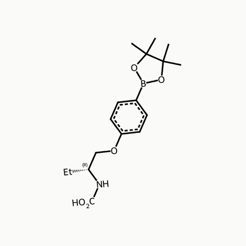 CC[C@H](COc1ccc(B2OC(C)(C)C(C)(C)O2)cc1)NC(=O)O